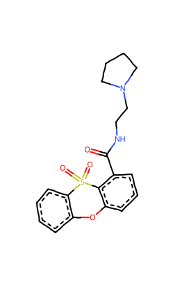 O=C(NCCN1CCCC1)c1cccc2c1S(=O)(=O)c1ccccc1O2